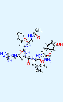 CCCC[C@H](NC(=O)CNC(C)=O)C(=O)N[C@@H](CCCNC(=N)N)C(=O)N[C@@H](CC(C)C)C(=O)N[C@@H](Cc1ccc(O)cc1)C(N)=O